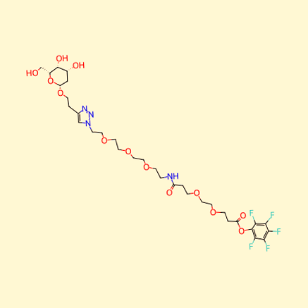 O=C(CCOCCOCCC(=O)Oc1c(F)c(F)c(F)c(F)c1F)NCCOCCOCCOCCn1cc(CCO[C@H]2C[C@@H](O)[C@@H](O)[C@@H](CO)O2)nn1